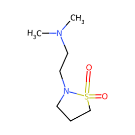 CN(C)CCN1CCCS1(=O)=O